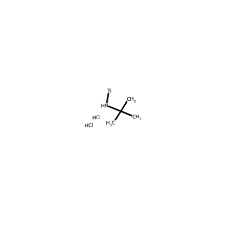 CC(C)(C)[NH][Ti].Cl.Cl